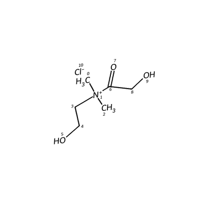 C[N+](C)(CCO)C(=O)CO.[Cl-]